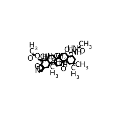 CC(=O)NNC(=O)[C@]12CCC(C)(C)C[C@H]1[C@H]1C(=O)C=C3[C@@]4(C)Cc5cnoc5[C@@](C)(COC(C)=O)[C@@H]4CC[C@@]3(C)[C@]1(C)CC2